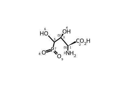 N[C@H](C(=O)O)[C@H](O)C(O)P(=O)=O